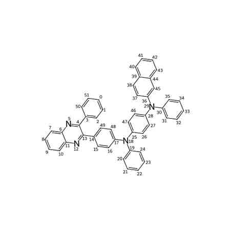 c1ccc(-c2nc3ccccc3nc2-c2ccc(N(c3ccccc3)c3ccc(N(c4ccccc4)c4ccc5ccccc5c4)cc3)cc2)cc1